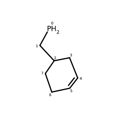 PCC1CC=CCC1